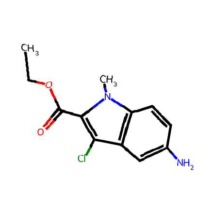 CCOC(=O)c1c(Cl)c2cc(N)ccc2n1C